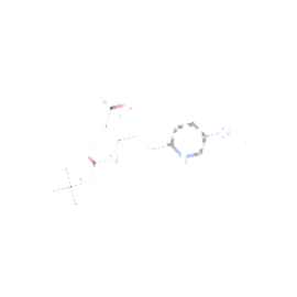 CC(C)(C)OC(=O)NC(CCc1ccc(N)cn1)CC(=O)O